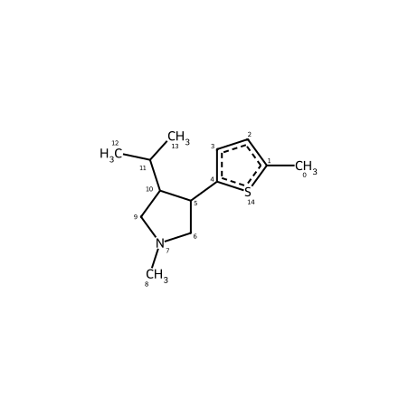 Cc1ccc(C2CN(C)CC2C(C)C)s1